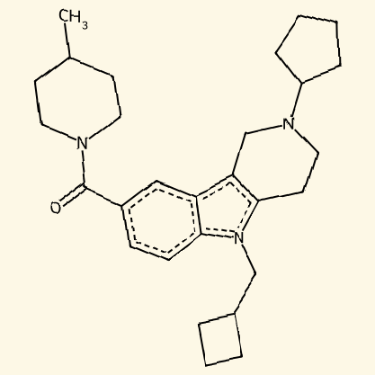 CC1CCN(C(=O)c2ccc3c(c2)c2c(n3CC3CCC3)CCN(C3CCCC3)C2)CC1